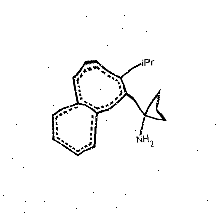 CC(C)c1ccc2ccccc2c1C1(N)CC1